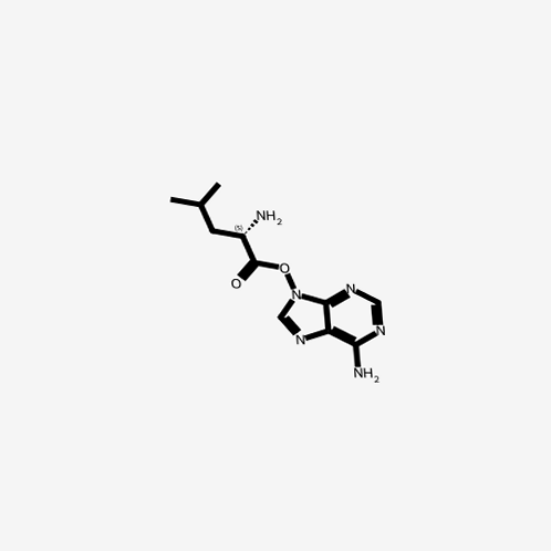 CC(C)C[C@H](N)C(=O)On1cnc2c(N)ncnc21